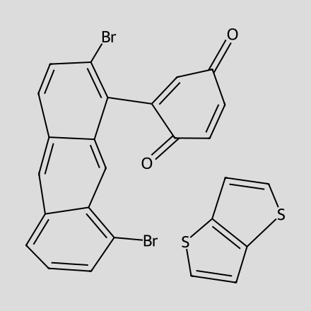 O=C1C=CC(=O)C(c2c(Br)ccc3cc4cccc(Br)c4cc23)=C1.c1cc2sccc2s1